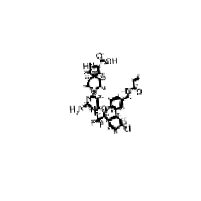 C=CC(=O)NCc1cccc(-c2cc(Cl)ccc2C(Oc2cc(N3CCC4(CC3)CN[C@H](C(=O)O)C4)nc(N)n2)C(F)(F)F)c1